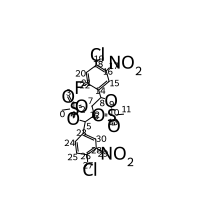 CS(=O)(=O)OC(CCC(OS(C)(=O)=O)c1cc([N+](=O)[O-])c(Cl)cc1F)c1ccc(Cl)c([N+](=O)[O-])c1